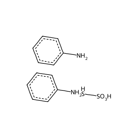 Nc1ccccc1.Nc1ccccc1.O=S(=O)(O)S